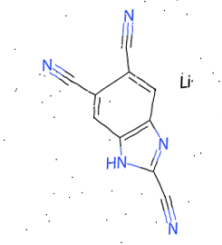 N#Cc1nc2cc(C#N)c(C#N)cc2[nH]1.[Li]